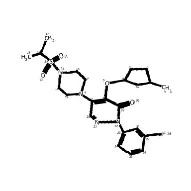 CC1CCC(Oc2c(N3CCN(S(=O)(=O)C(C)C)CC3)cnn(-c3cccc(F)c3)c2=O)C1